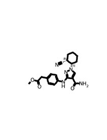 COC(=O)Cc1ccc(Nc2nn([C@H]3CCCC[C@H]3C#N)cc2C(N)=O)cc1